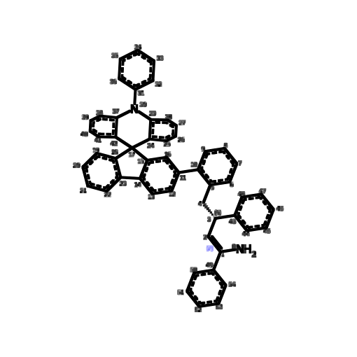 N/C(=C\[C@H](Cc1ccccc1-c1ccc2c(c1)C1(c3ccccc3-2)c2ccccc2N(c2ccccc2)c2ccccc21)c1ccccc1)c1ccccc1